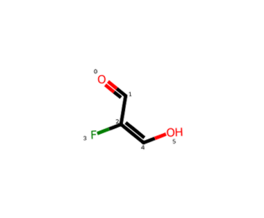 O=C/C(F)=C\O